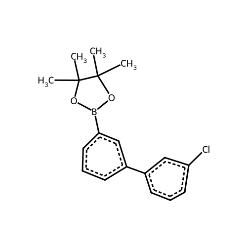 CC1(C)OB(c2cccc(-c3cccc(Cl)c3)c2)OC1(C)C